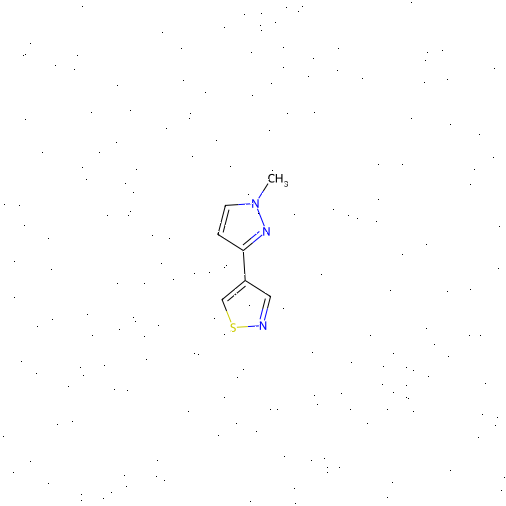 Cn1ccc(-c2cnsc2)n1